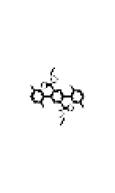 CCOC(=O)c1cc(-c2cc(C)ccc2C)c(C(=O)OCC)cc1-c1cc(C)ccc1C